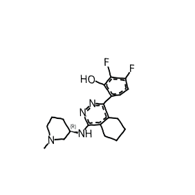 CN1CCC[C@@H](Nc2nnc(-c3ccc(F)c(F)c3O)c3c2CCCC3)C1